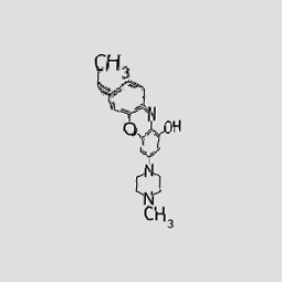 CC=c1ccc2c(c1)Oc1cc(N3CCN(C)CC3)cc(O)c1N=2